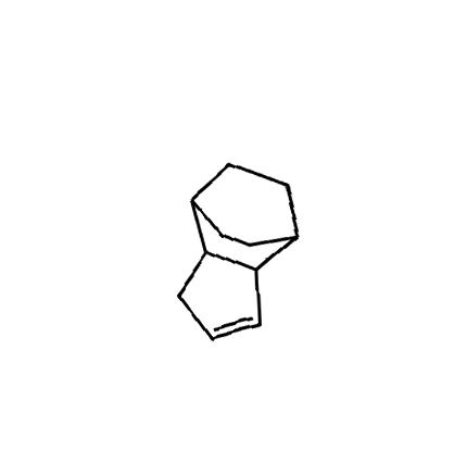 C1=CC2C3CCC(CC3)C2C1